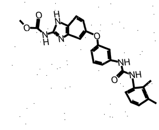 COC(=O)Nc1nc2cc(Oc3cccc(NC(=O)Nc4cccc(C)c4C)c3)ccc2[nH]1